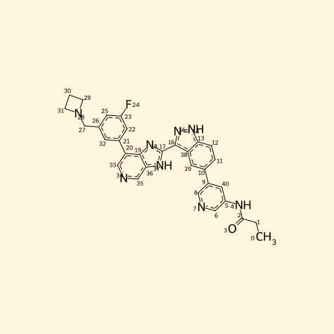 CCC(=O)Nc1cncc(-c2ccc3[nH]nc(-c4nc5c(-c6cc(F)cc(CN7CCC7)c6)cncc5[nH]4)c3c2)c1